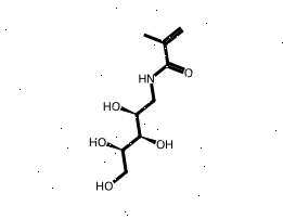 C=C(C)C(=O)NC[C@H](O)[C@@H](O)[C@H](O)CO